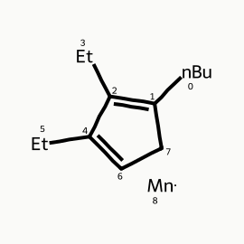 CCCCC1=C(CC)C(CC)=CC1.[Mn]